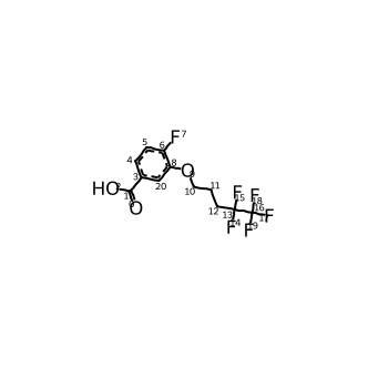 O=C(O)c1ccc(F)c(OCCCC(F)(F)C(F)(F)F)c1